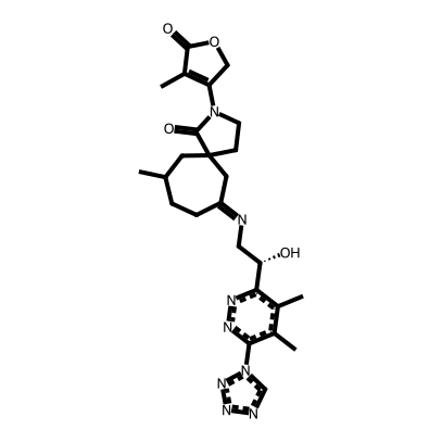 CC1=C(N2CCC3(C/C(=N/C[C@H](O)c4nnc(-n5cnnn5)c(C)c4C)CCC(C)C3)C2=O)COC1=O